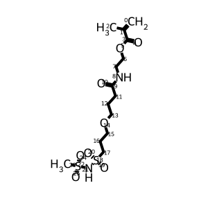 C=C(C)C(=O)OCCNC(=O)CCCOCCCS(=O)(=O)NS(C)(=O)=O